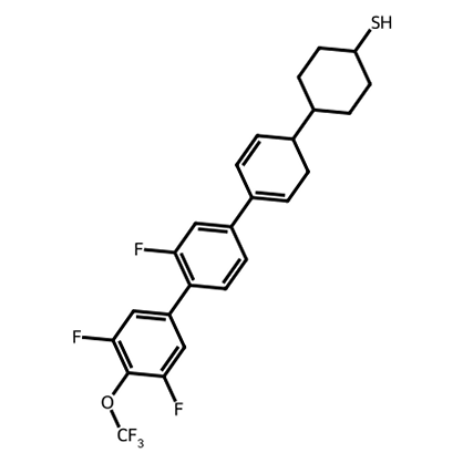 Fc1cc(C2=CCC(C3CCC(S)CC3)C=C2)ccc1-c1cc(F)c(OC(F)(F)F)c(F)c1